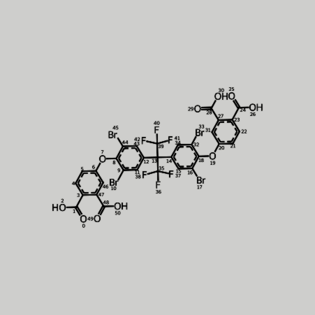 O=C(O)c1ccc(Oc2c(Br)cc(C(c3cc(Br)c(Oc4ccc(C(=O)O)c(C(=O)O)c4)c(Br)c3)(C(F)(F)F)C(F)(F)F)cc2Br)cc1C(=O)O